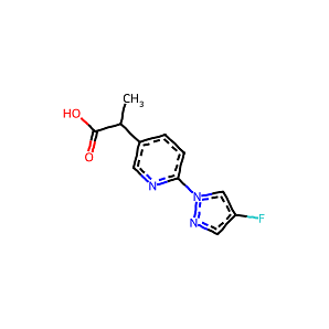 CC(C(=O)O)c1ccc(-n2cc(F)cn2)nc1